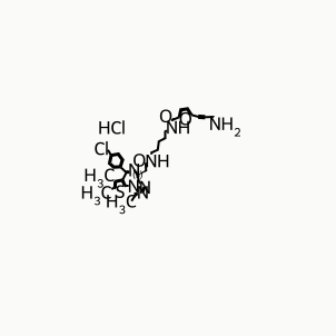 Cc1sc2c(c1C)C(c1ccc(Cl)cc1)=N[C@@H](CC(=O)NCCCCCNC(=O)c1ccc(C#CCN)o1)c1nnc(C)n1-2.Cl